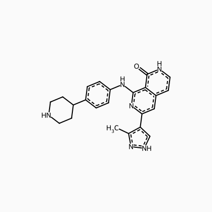 Cc1n[nH]cc1-c1cc2cc[nH]c(=O)c2c(Nc2ccc(C3CCNCC3)cc2)n1